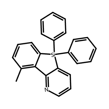 Cc1cccc2c1-c1ncccc1[Si]2(c1ccccc1)c1ccccc1